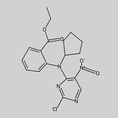 CCOC(=O)c1ccccc1N(c1nc(Cl)ncc1[N+](=O)[O-])C1CCCC1